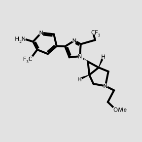 COCCN1C[C@@H]2[C@H](C1)[C@@H]2n1cc(-c2cnc(N)c(C(F)(F)F)c2)nc1CC(F)(F)F